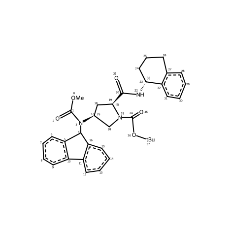 COC(=O)N(C1c2ccccc2-c2ccccc21)[C@H]1C[C@@H](C(=O)N[C@@H]2CCCc3ccccc32)N(C(=O)OC(C)(C)C)C1